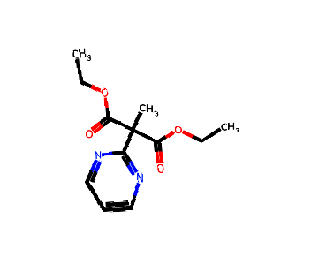 CCOC(=O)C(C)(C(=O)OCC)c1ncccn1